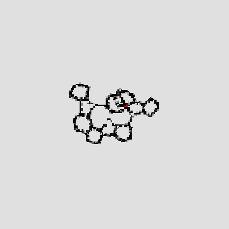 c1ccc(-n2c3ccccc3c3ccc4ccc5c6cccc(-n7c8ccccc8c8ccccc87)c6oc5c4c32)cc1